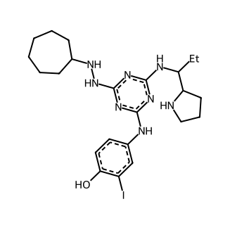 CCC(Nc1nc(NNC2CCCCCC2)nc(Nc2ccc(O)c(I)c2)n1)C1CCCN1